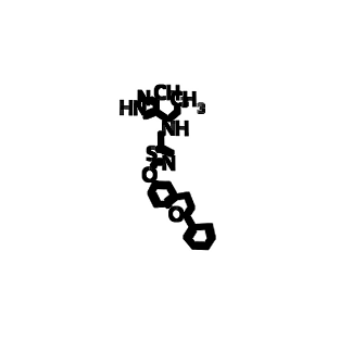 CCC(NCc1cnc(Oc2ccc3c(c2)CCC(c2ccccc2)O3)s1)c1c[nH]nc1C